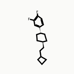 Fc1ccc([C@H]2CC[C@H](CCC3CCC3)CC2)cc1F